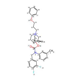 Cc1cccc(N(Cc2ccc(F)c(F)c2)C(=O)O[C@H]2C[N+]3(CCCOc4ccccc4)CCC2CC3)c1